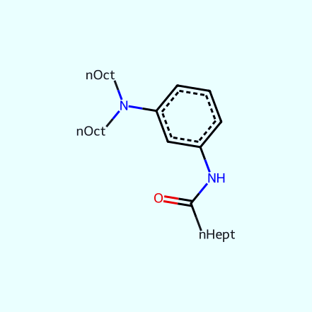 CCCCCCCCN(CCCCCCCC)c1cccc(NC(=O)CCCCCCC)c1